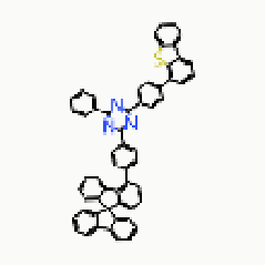 c1ccc(-c2nc(-c3ccc(-c4cccc5c4-c4ccccc4C54c5ccccc5-c5ccccc54)cc3)nc(-c3ccc(-c4cccc5c4sc4ccccc45)cc3)n2)cc1